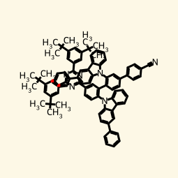 CC(C)(C)c1cc(-c2nc(-c3cc(C(C)(C)C)cc(C(C)(C)C)c3)nc(-c3ccc(-n4c5ccccc5c5cc(-c6ccccc6)ccc54)c(-c4ccc(-c5ccc(C#N)cc5)cc4-n4c5ccccc5c5cc(-c6ccccc6)ccc54)c3)n2)cc(C(C)(C)C)c1